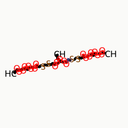 C#CCOC(COC(=O)C=CSCCSC=CC(=O)OCOC(=O)CC(=O)OCOC(=O)C#C)COC(=O)/C=C/SCCSC=CC(=O)OCOC(=O)CC(=O)OCOC(=O)C#C